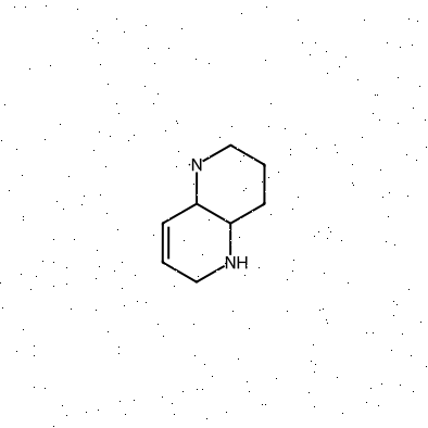 C1=CC2[N]CCCC2NC1